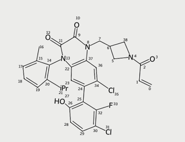 C=CC(=O)N1CC(Cn2c(=O)c(=O)n(-c3c(C)cccc3C(C)C)c3cc(-c4c(O)ccc(Cl)c4F)c(Cl)cc32)C1